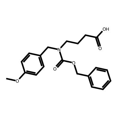 COc1ccc(CN(CCCC(=O)O)C(=O)OCc2ccccc2)cc1